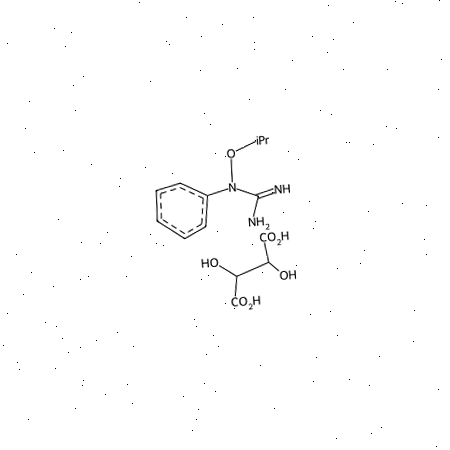 CC(C)ON(C(=N)N)c1ccccc1.O=C(O)C(O)C(O)C(=O)O